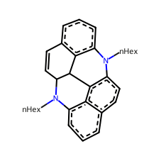 CCCCCCN1c2cccc3c2C2c4c1ccc1cccc(c41)N(CCCCCC)C2C=C3